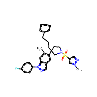 Cc1cc2c(cnn2-c2ccc(F)cc2)cc1C1(CCCc2ccccc2)CCN(S(=O)(=O)c2cnn(C)c2)C1